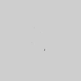 [C-]#[N+]C(=O)[C@@H](N)[C@@H](C)CC